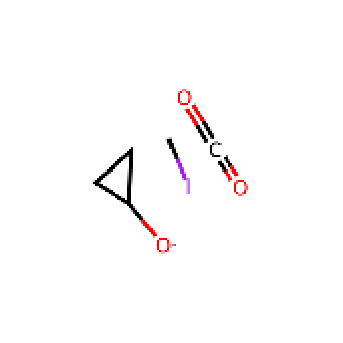 CI.O=C=O.[O]C1CC1